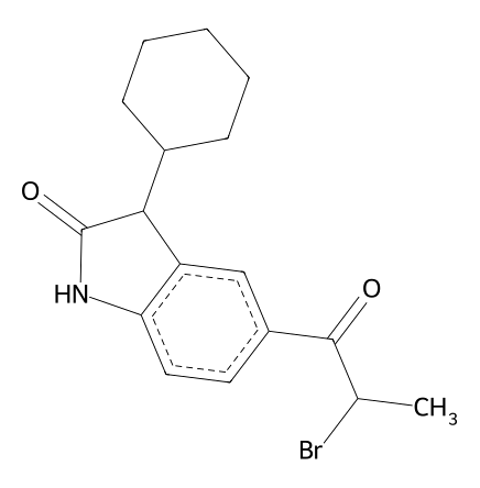 CC(Br)C(=O)c1ccc2c(c1)C(C1CCCCC1)C(=O)N2